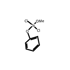 CO[Si](Cl)(Cl)Oc1ccccc1